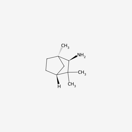 CC1(C)[C@@H]2CC[C@](C)(C2)[C@H]1N